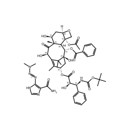 CC(=O)O[C@@]12CO[C@@H]1C[C@H](O)[C@@]1(C)C(=O)[C@H](O)C3=C(C)[C@@H](OC(=O)[C@H](O)[C@@H](NC(=O)OC(C)(C)C)c4ccccc4)C[C@@](O)([C@@H](OC(=O)c4ccccc4)[C@H]21)C3(C)C.CN(C)/N=N/c1[nH]cnc1C(N)=O